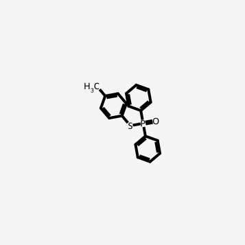 Cc1ccc(SP(=O)(c2ccccc2)c2ccccc2)cc1